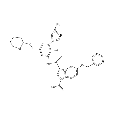 Cn1cc(-c2cc(COC3CCCCO3)cc(NC(=O)c3cc(C(=O)C(C)(C)C)n4ccc(OCc5ccccc5)cc34)c2F)cn1